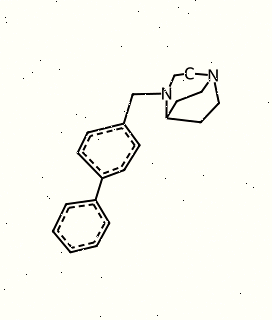 c1ccc(-c2ccc(CN3CCN4CCC3CC4)cc2)cc1